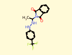 CC(NNc1ccc(C(F)(F)F)cc1)N1C(=O)c2ccccc2C1=O